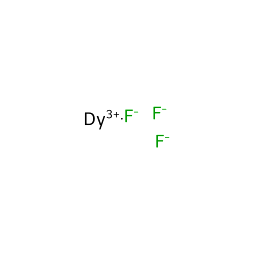 [Dy+3].[F-].[F-].[F-]